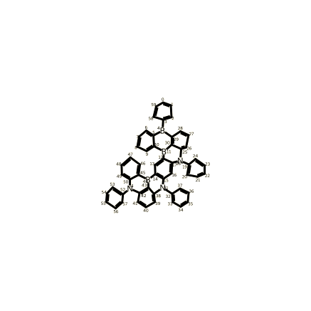 c1ccc(B2c3ccccc3B3c4cc5c(cc4N(c4ccccc4)c4cccc2c43)N(c2ccccc2)c2cccc3c2B5c2ccccc2N3c2ccccc2)cc1